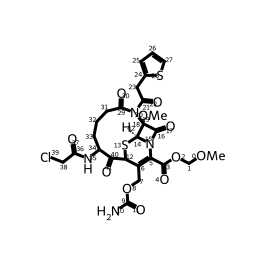 COCOC(=O)C1=C(COC(N)=O)C2S[C@@H]3N1C(=O)[C@]3(OC)N(C(=O)Cc1cccs1)C(=O)CCCC(NC(=O)CCl)C2=O